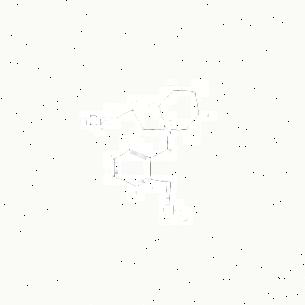 C=Cc1ccccc1C[N+]1(CCCCCCCCCCCC)CCCCC1.[Cl-]